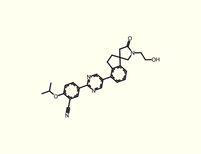 CC(C)Oc1ccc(-c2ncc(-c3cccc4c3CCC43CC(=O)N(CCO)C3)cn2)cc1C#N